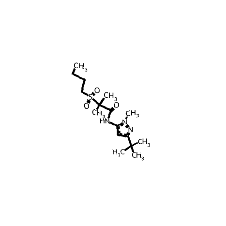 CCCCS(=O)(=O)C(C)(C)C(=O)Nc1cc(C(C)(C)C)nn1C